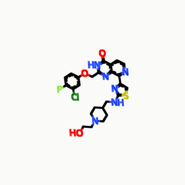 O=c1[nH]c(COc2ccc(F)c(Cl)c2)nc2c(-c3csc(NCC4CCN(CCO)CC4)n3)nccc12